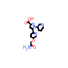 NC(=O)COc1ccc(-c2cc(C(=O)O)nn2-c2cccnc2)nc1